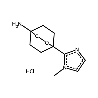 Cl.Cn1ccnc1C12CCC(N)(CC1)CO2